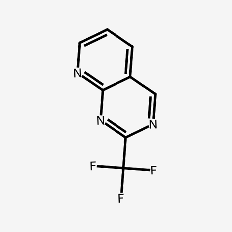 FC(F)(F)c1ncc2cccnc2n1